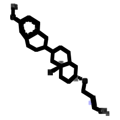 C/C=C/CO[C@@H]1CC[C@@H]2CC(C3CCc4cc(OCC)ccc4C3)CCC2C1